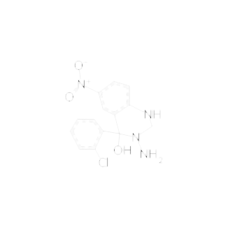 NN1CNc2ccc([N+](=O)[O-])cc2C1(O)c1ccccc1Cl